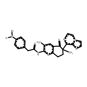 CC[S+]([O-])c1ccc(CC(=O)Nc2nc3c(cc2C)C(=O)C(C)(c2nccn4ccnc24)CC3)cc1